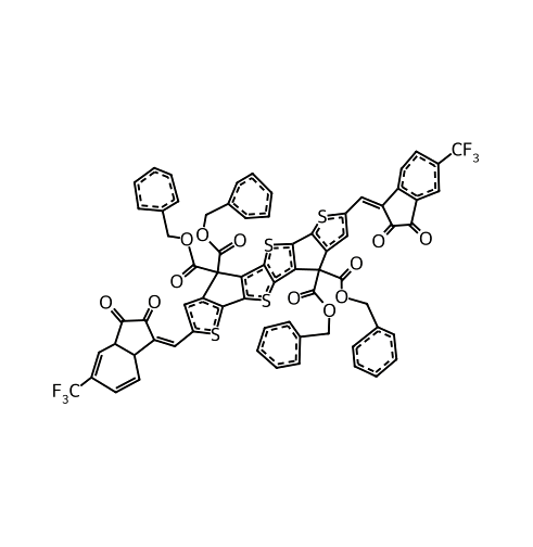 O=C1C(=O)c2cc(C(F)(F)F)ccc2/C1=C/c1cc2c(s1)-c1sc3c4c(sc3c1C2(C(=O)OCc1ccccc1)C(=O)OCc1ccccc1)-c1sc(/C=C2\C(=O)C(=O)C3C=C(C(F)(F)F)C=CC23)cc1C4(C(=O)OCc1ccccc1)C(=O)OCc1ccccc1